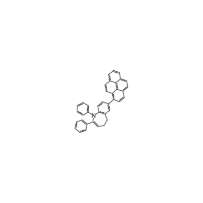 C1=C(c2ccccc2)N(c2ccccc2)c2ccc(-c3ccc4ccc5cccc6ccc3c4c56)cc2CC1